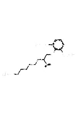 CCCCCCCCCCCCCCCCC(COc1c(C(=O)O)cccc1C(=O)O)I(=O)=O